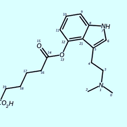 CN(C)CCc1c[nH]c2cccc(OC(=O)CCCCC(=O)O)c12